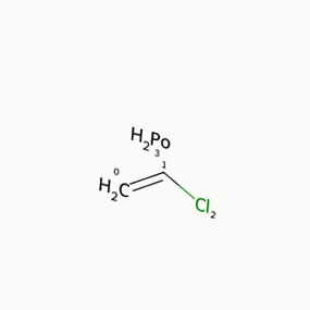 C=CCl.[PoH2]